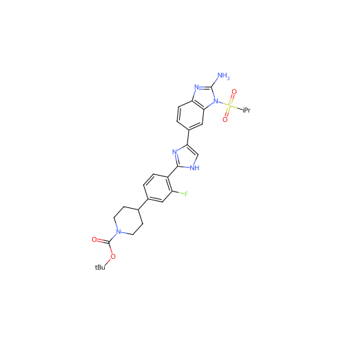 CC(C)S(=O)(=O)n1c(N)nc2ccc(-c3c[nH]c(-c4ccc(C5CCN(C(=O)OC(C)(C)C)CC5)cc4F)n3)cc21